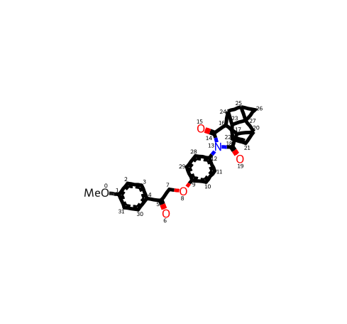 COc1ccc(C(=O)COc2ccc(N3C(=O)C4C(C3=O)C3C=CC5C4C4CC354)cc2)cc1